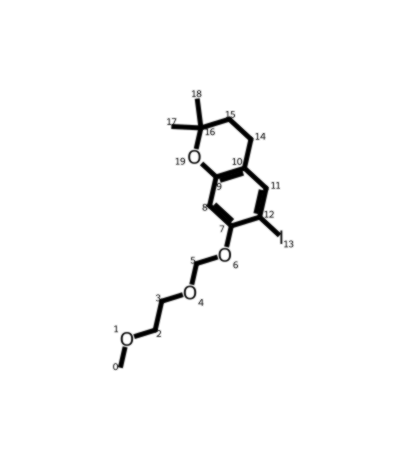 COCCOCOc1cc2c(cc1I)CCC(C)(C)O2